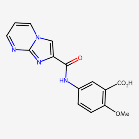 COc1ccc(NC(=O)c2cn3cccnc3n2)cc1C(=O)O